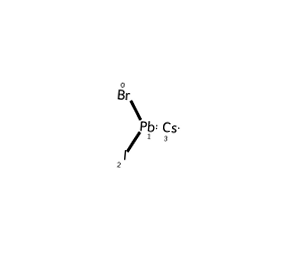 [Br][Pb][I].[Cs]